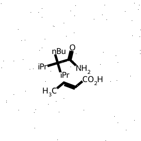 CC=CC(=O)O.CCCCC(C(N)=O)(C(C)C)C(C)C